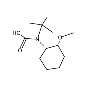 CO[C@@H]1CCCC[C@@H]1N(C(=O)O)C(C)(C)C